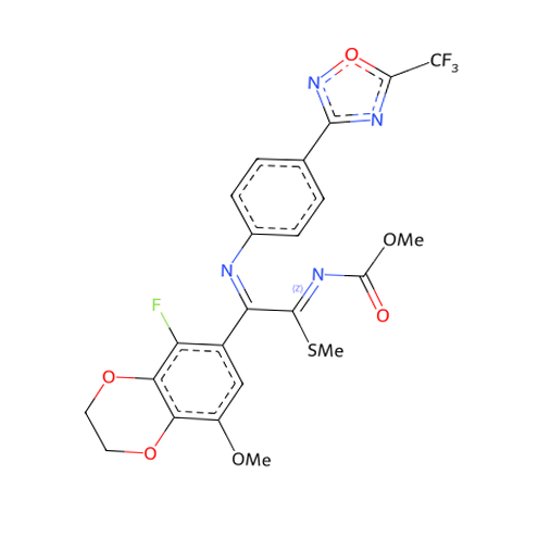 COC(=O)/N=C(\SC)C(=Nc1ccc(-c2noc(C(F)(F)F)n2)cc1)c1cc(OC)c2c(c1F)OCCO2